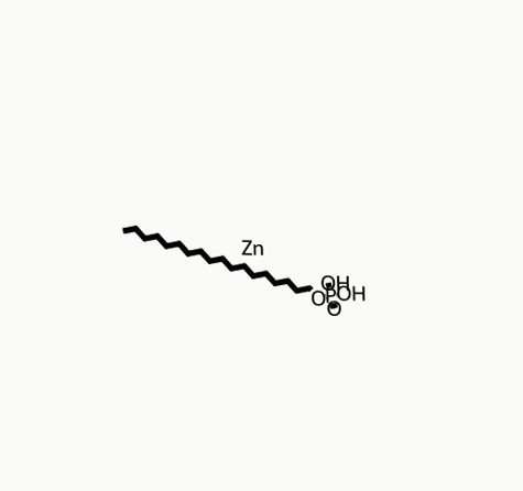 CCCCCCCCCCCCCCCCCCOP(=O)(O)O.[Zn]